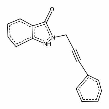 O=c1c2ccccc2[nH]n1CC#Cc1ccccc1